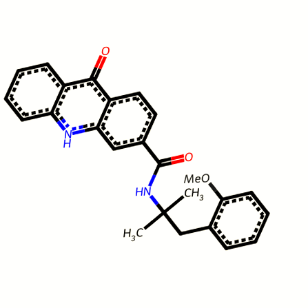 COc1ccccc1CC(C)(C)NC(=O)c1ccc2c(=O)c3ccccc3[nH]c2c1